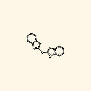 c1ccc2sc(Sc3cc4ccccc4s3)cc2c1